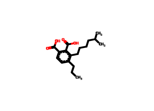 CCCc1ccc(C(=O)O)c(C(=O)O)c1CCCCC(C)C